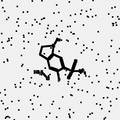 CC(=O)N1CCc2cc(F)c(S(N)(=O)=O)cc21.O=S(=O)(O)Cl